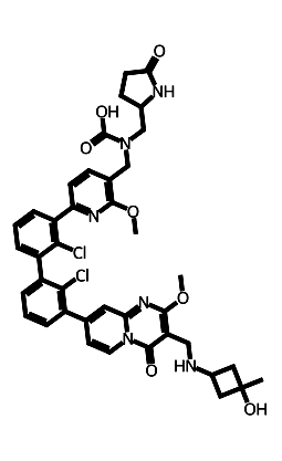 COc1nc(-c2cccc(-c3cccc(-c4ccn5c(=O)c(CNC6CC(C)(O)C6)c(OC)nc5c4)c3Cl)c2Cl)ccc1CN(CC1CCC(=O)N1)C(=O)O